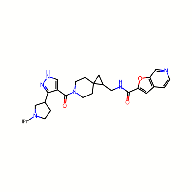 CC(C)N1CCC(c2n[nH]cc2C(=O)N2CCC3(CC2)CC3CNC(=O)c2cc3ccncc3o2)C1